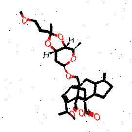 COCCC1(C)O[C@H]2[C@H](C[C@H](OCC34CC5C(C)CCC5C5(C=O)CC3C=C(C(C)C)C54C(=O)O)O[C@@H]2C)O1